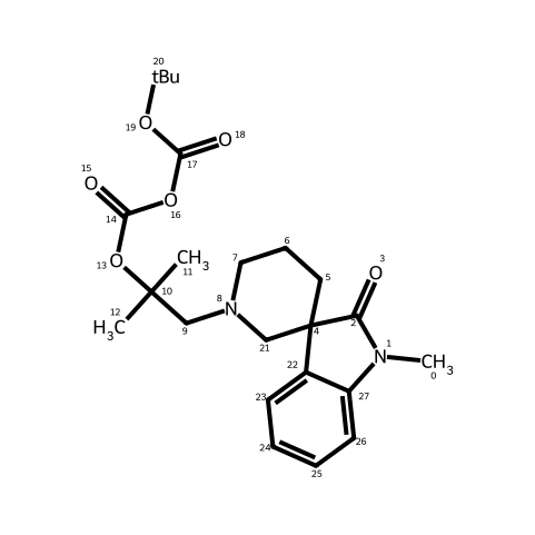 CN1C(=O)C2(CCCN(CC(C)(C)OC(=O)OC(=O)OC(C)(C)C)C2)c2ccccc21